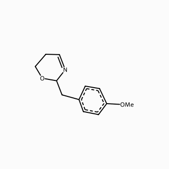 COc1ccc(CC2N=CCCO2)cc1